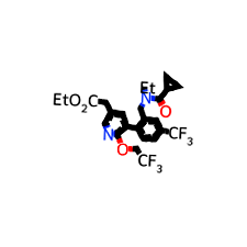 CCOC(=O)Cc1cnc(OCC(F)(F)F)c(-c2ccc(C(F)(F)F)cc2CN(CC)C(=O)C2CC2)c1